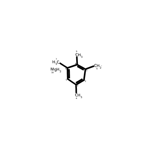 [CH2]c1cc(C)cc(C)c1C.[MgH2]